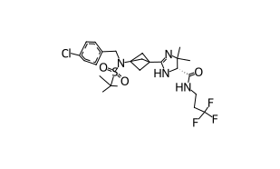 CC1(C)N=C(C23CC(N(Cc4ccc(Cl)cc4)S(=O)(=O)C(C)(C)C)(C2)C3)N[C@H]1C(=O)NCCC(F)(F)F